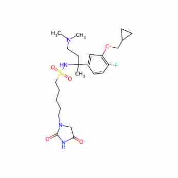 CN(C)CCC(C)(NS(=O)(=O)CCCCCN1CC(=O)NC1=O)c1ccc(F)c(OCC2CC2)c1